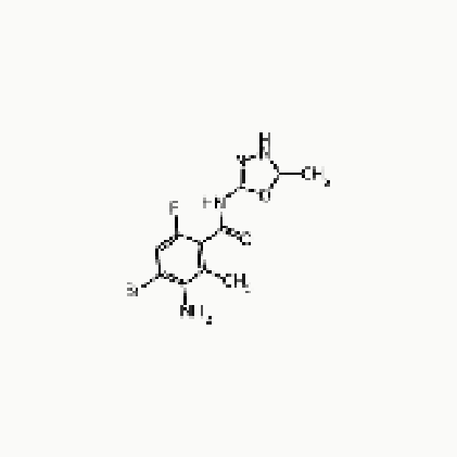 Cc1c(N)c(Br)cc(F)c1C(=O)NC1=NNC(C)O1